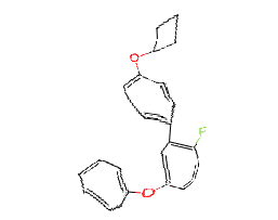 Fc1ccc(Oc2ccccc2)cc1-c1ccc(OC2CCC2)cc1